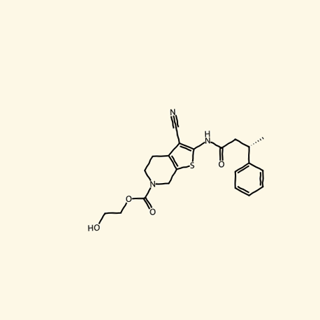 C[C@@H](CC(=O)Nc1sc2c(c1C#N)CCN(C(=O)OCCO)C2)c1ccccc1